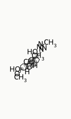 COC[C@@]1(O)CC[C@@]2(C)[C@@H](CC[C@@H]3[C@@H]2CC[C@]2(C)[C@@H](C(O)Cn4nnc(C)n4)CC[C@@H]32)C1